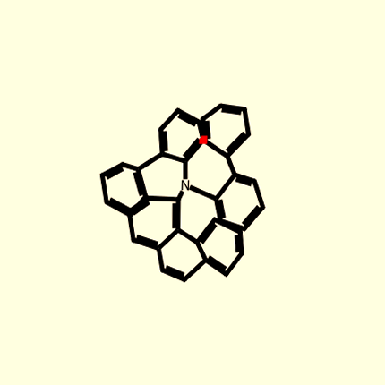 c1ccc(-c2ccccc2N(c2ccccc2-c2ccccc2)c2cccc3ccc4ccccc4c23)cc1